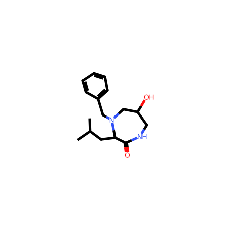 CC(C)CC1C(=O)NCC(O)CN1Cc1ccccc1